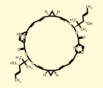 C/C=C/[C@H](O)C(C)(C)[C@@H]1C/C=C\[C@H]2C[C@H]2/C=C/C=C\c2nc(co2)C(=O)O[C@H](C(C)(C)[C@@H](O)/C=C/C)C/C=C\[C@@H]2C[C@@H]2/C=C/C=C\c2nc(c[nH]2)C(=O)O1